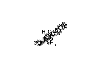 Cc1cc(-c2ncc3cc(C(F)(F)F)ccc3n2)ccc1N1CCn2nc(CN3CCC(=O)CC3)c(C)c2C1=O